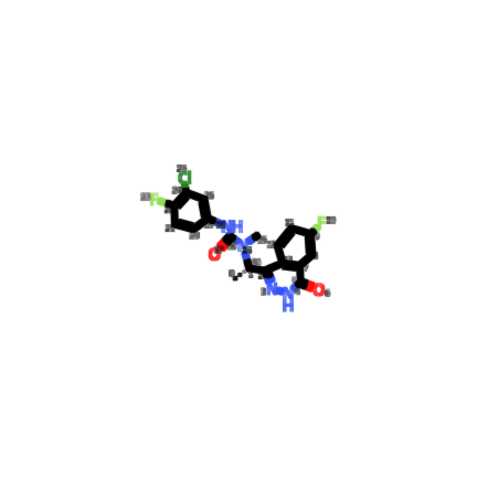 C[C@@H](c1n[nH]c(=O)c2cc(F)ccc12)N(C)C(=O)Nc1ccc(F)c(Cl)c1